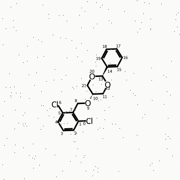 Clc1cccc(Cl)c1CO[C@H]1CO[C@H](c2ccccc2)OC1